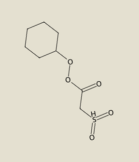 O=C(C[SH](=O)=O)OOC1CCCCC1